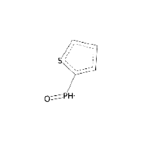 O=[PH]c1cccs1